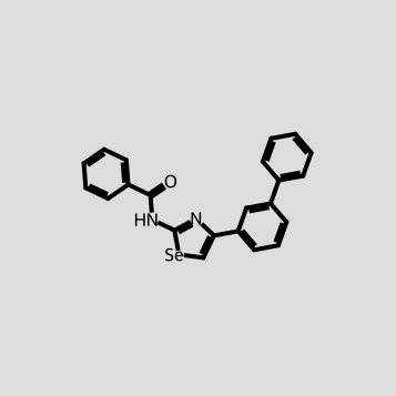 O=C(Nc1nc(-c2cccc(-c3ccccc3)c2)c[se]1)c1ccccc1